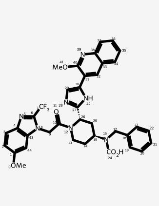 COc1ccc2nc(C(F)(F)F)n(CC(=O)N3CC[C@H](N(Cc4ccccc4)C(=O)O)C[C@H]3c3ncc(-c4cc5ccccc5nc4OC)[nH]3)c2c1